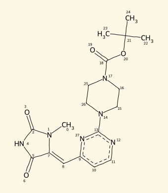 CN1C(=O)NC(=O)C1=Cc1ccnc(N2CCN(C(=O)OC(C)(C)C)CC2)n1